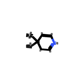 CC(C)(C)C1(C)C=CN=CC1